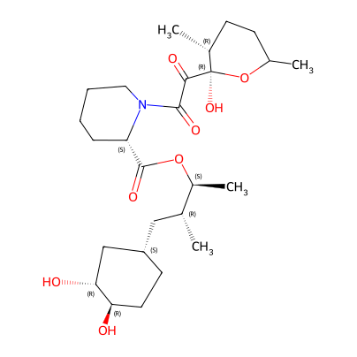 CC1CC[C@@H](C)[C@](O)(C(=O)C(=O)N2CCCC[C@H]2C(=O)O[C@@H](C)[C@H](C)C[C@@H]2CC[C@@H](O)[C@H](O)C2)O1